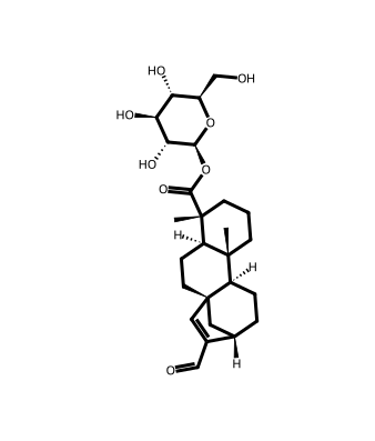 C[C@]12CCC[C@@](C)(C(=O)O[C@@H]3O[C@H](CO)[C@@H](O)[C@H](O)[C@H]3O)[C@@H]1CC[C@@]13C=C(C=O)[C@@H](CC[C@@H]12)C3